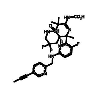 CC#Cc1ccc(CNc2ccc(F)c([C@@]3(C)N=C(NC(=O)O)C(C)(C)[SH]4(=O)NCC(F)(F)C[C@H]34)n2)nc1